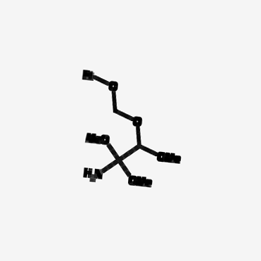 CCOCOC(OC)C(N)(OC)OC